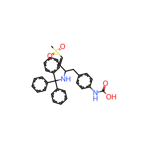 CS(=O)(=O)C=CC(Cc1ccc(NC(=O)O)cc1)NC(c1ccccc1)(c1ccccc1)c1ccccc1